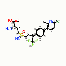 Cc1nc(Cl)ccc1-c1ccc(C(CCS(=N)(=O)CC[C@H](N)C(=O)O)C(F)(F)F)cc1